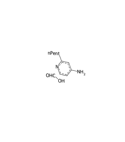 CCCCCc1cc(N)ccn1.O=CO